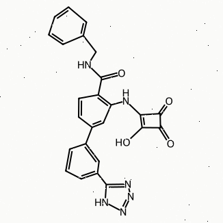 O=C(NCc1ccccc1)c1ccc(-c2cccc(-c3nnn[nH]3)c2)cc1Nc1c(O)c(=O)c1=O